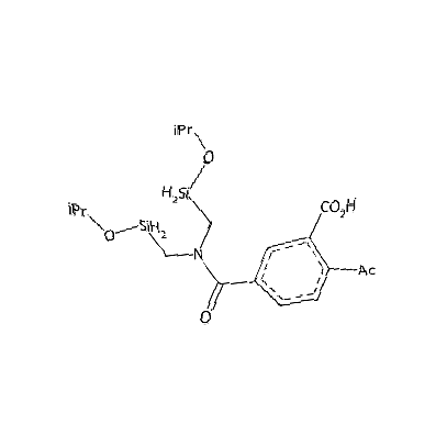 CC(=O)c1ccc(C(=O)N(C[SiH2]OC(C)C)C[SiH2]OC(C)C)cc1C(=O)O